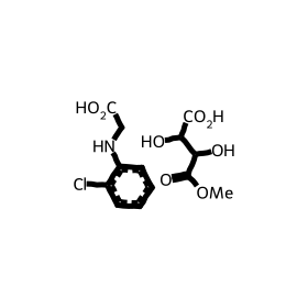 COC(=O)C(O)C(O)C(=O)O.O=C(O)CNc1ccccc1Cl